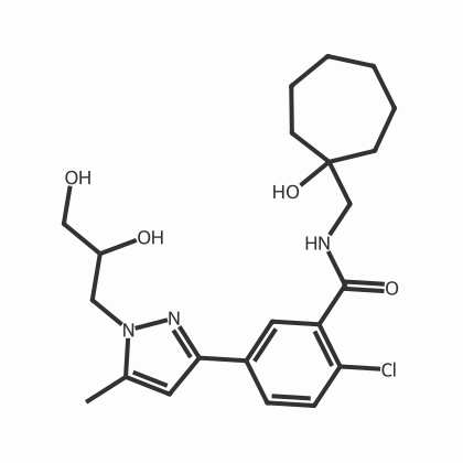 Cc1cc(-c2ccc(Cl)c(C(=O)NCC3(O)CCCCCC3)c2)nn1CC(O)CO